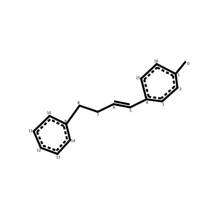 Cc1ccc(C=CCCc2ccccc2)cc1